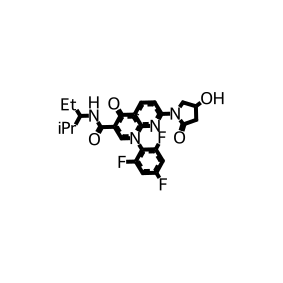 CCC(NC(=O)c1cn(-c2c(F)cc(F)cc2F)c2nc(N3CC(O)CC3=O)ccc2c1=O)C(C)C